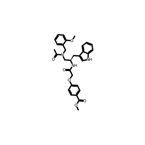 COC(=O)c1ccc(OCC(=O)N[C@H](Cc2c[nH]c3ccccc23)CN(Cc2ccccc2OC)C(C)=O)cc1